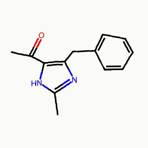 CC(=O)c1[nH]c(C)nc1Cc1ccccc1